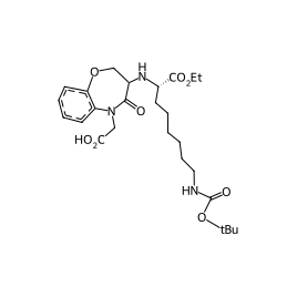 CCOC(=O)[C@H](CCCCCCNC(=O)OC(C)(C)C)NC1COc2ccccc2N(CC(=O)O)C1=O